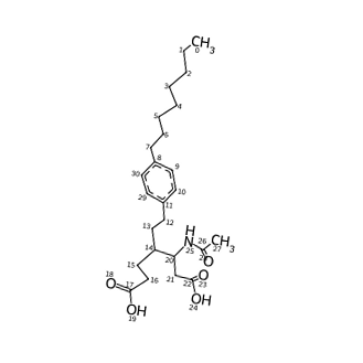 CCCCCCCCc1ccc(CCC(CCC(=O)O)C(CC(=O)O)NC(C)=O)cc1